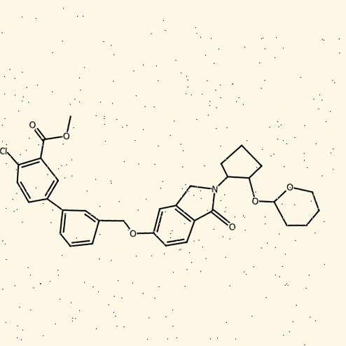 COC(=O)c1cc(-c2cccc(COc3ccc4c(c3)CN(C3CCCC3OC3CCCCO3)C4=O)c2)ccc1Cl